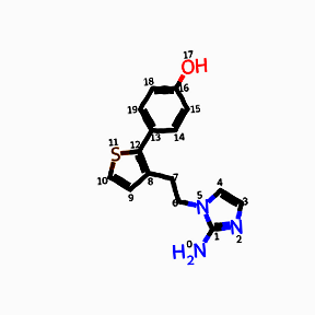 Nc1nccn1CCc1ccsc1-c1ccc(O)cc1